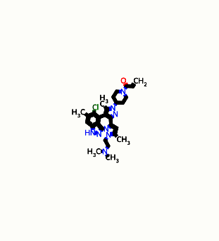 C=CC(=O)N1CCC(n2nc(-c3cc(C)n(CCN(C)C)n3)c(-c3c(Cl)c(C)cc4[nH]ncc34)c2C)CC1